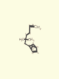 C=CCCC(C)(C)CC1CC2C=CC1C2